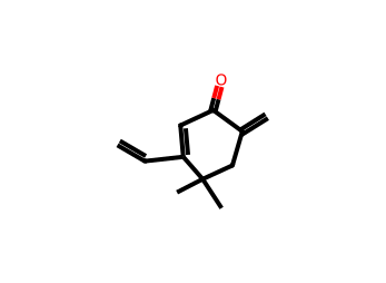 C=CC1=CC(=O)C(=C)CC1(C)C